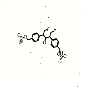 O=C(C(CF)c1ccc(CO[SH](=O)=O)cc1)C(CF)c1ccc(CO[SH](=O)=O)cc1